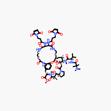 CC[C@H](C)[C@@H]([C@@H](CC(=O)N1CCC[C@H]1[C@H](OC)[C@@H](C)C(=O)N[C@@H](Cc1ccc2c(c1)NC(=O)CCCNC(=O)C(NC(=O)CCN1C(=O)C=CC1=O)C(NC(=O)CCN1C(=O)C=CC1=O)C(=O)NCCCC(=O)O2)C(=O)OC)OC)N(C)C(=O)[C@@H](NC(=O)C(C)(C)N(C)C)C(C)C